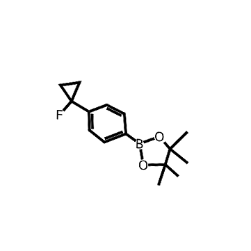 CC1(C)OB(c2ccc(C3(F)CC3)cc2)OC1(C)C